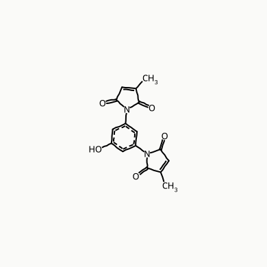 CC1=CC(=O)N(c2cc(O)cc(N3C(=O)C=C(C)C3=O)c2)C1=O